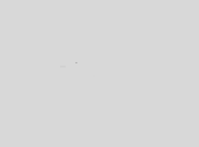 CS(C1=CCCC=C1)(c1ccccc1)C1C=CC=CC1